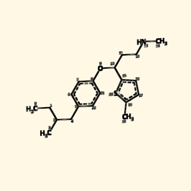 CCC(C)Cc1ccc(OC(CCNC)c2ccc(C)s2)cc1